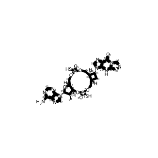 C[C@@H]1[C@@H]2OP(=O)(S)OC[C@H]3C[C@@H](n4cnc5c(=O)n6cnnc6[nH]c54)[C@@H]3COP(=O)(S)OC[C@H]2O[C@H]1n1cnc2c(N)ncnc21